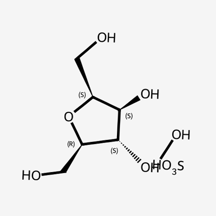 O=S(=O)(O)O.OC[C@@H]1O[C@H](CO)[C@@H](O)[C@@H]1O